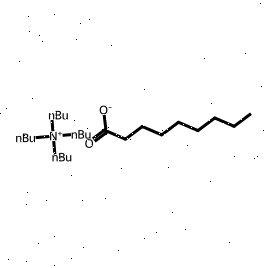 CCCCCCCCC(=O)[O-].CCCC[N+](CCCC)(CCCC)CCCC